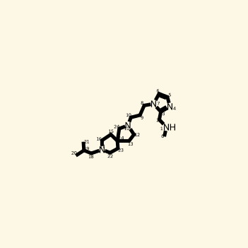 CNCc1nccn1CCCN1CCC2(CCN(CC(C)C)CC2)C1